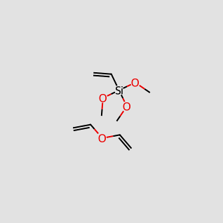 C=COC=C.C=C[Si](OC)(OC)OC